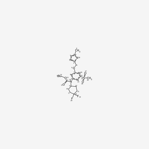 Cn1cnc(COc2cc(N(C(=O)OC(C)(C)C)C3CCC(F)(F)CC3)nc(S(C)(=O)=O)n2)n1